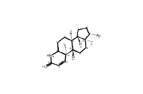 CC(=O)[C@H]1CC[C@H]2[C@@H]3CCC4NC(=O)C=C[C@]4(C)[C@H]3CC[C@]12C